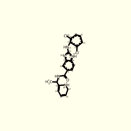 CC(NC(=O)c1ccc2[nH]c(Nc3c(Cl)cccc3Cl)nc2c1)C1=CC=CCN1